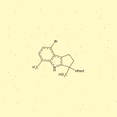 CCCCCC1(C(=O)O)CCc2c1[nH]c1c(C)ccc(Br)c21